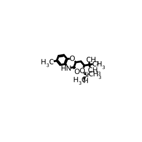 Cc1ccc2c(c1)NC(=O)C(CC(O[SiH](C)C)C(C)(C)C)O2